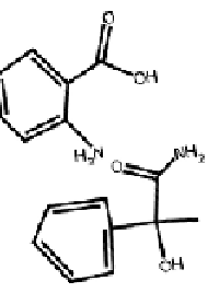 CC(O)(C(N)=O)c1ccccc1.Nc1ccccc1C(=O)O